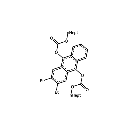 CCCCCCCOC(=O)Oc1c2ccccc2c(OC(=O)OCCCCCCC)c2cc(CC)c(CC)cc12